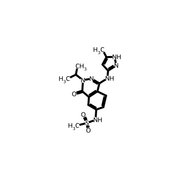 Cc1cc(Nc2nn(C(C)C)c(=O)c3cc(NS(C)(=O)=O)ccc23)n[nH]1